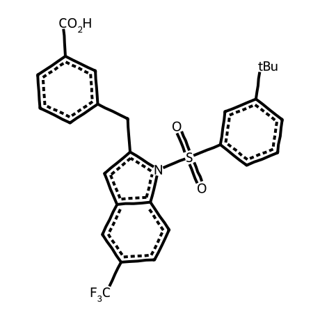 CC(C)(C)c1cccc(S(=O)(=O)n2c(Cc3cccc(C(=O)O)c3)cc3cc(C(F)(F)F)ccc32)c1